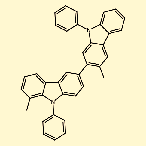 Cc1cc2c3ccccc3n(-c3ccccc3)c2cc1-c1ccc2c(c1)c1cccc(C)c1n2-c1ccccc1